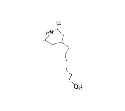 OCCCCCCC1C[CH]NC(Cl)C1